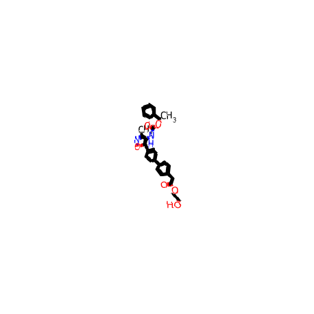 Cc1noc(-c2ccc(-c3ccc(CC(=O)OCCO)cc3)cc2)c1NC(=O)O[C@H](C)c1ccccc1